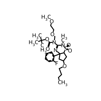 CCCCOC1CC2C(c3ccccc3F)(C1)N=C(N(COCCOC)C(=O)OC(C)(C)C)N(C)S2(=O)=O